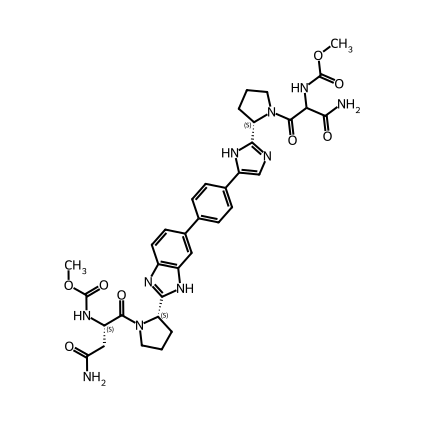 COC(=O)NC(C(N)=O)C(=O)N1CCC[C@H]1c1ncc(-c2ccc(-c3ccc4nc([C@@H]5CCCN5C(=O)[C@H](CC(N)=O)NC(=O)OC)[nH]c4c3)cc2)[nH]1